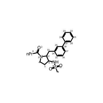 CCCC(=O)N1CCC(NS(C)(=O)=O)C1Cc1cccc(-c2ccccc2)c1